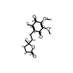 COC1=C(OC)C(=O)C(CCC2(C)CCC(=O)O2)=C(C)C1=O